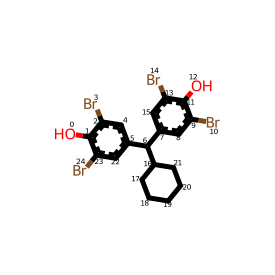 Oc1c(Br)cc(C(c2cc(Br)c(O)c(Br)c2)C2CCCCC2)cc1Br